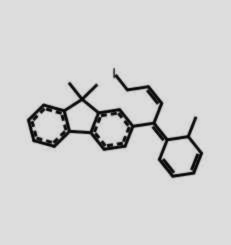 CC1C=CC=C/C1=C(/C=C\CI)c1ccc2c(c1)C(C)(C)c1ccccc1-2